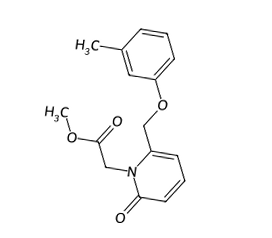 COC(=O)Cn1c(COc2cccc(C)c2)cccc1=O